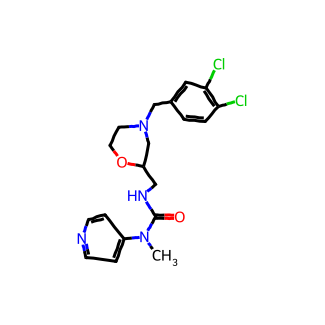 CN(C(=O)NCC1CN(Cc2ccc(Cl)c(Cl)c2)CCO1)c1ccncc1